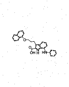 O=C(O)c1[nH]c2c(Nc3ccccc3)cccc2c1CCCOc1cccc2ccccc12